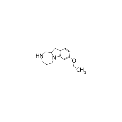 CCOc1ccc2c(c1)N1CCCNCC1C2